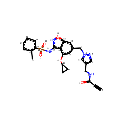 C#CC(=O)NCc1cnn(Cc2cc(OC3CC3)c3c(NS(=O)(=O)c4ccccc4C)noc3c2)c1